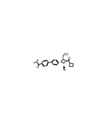 CN(C)C(=O)c1ccc(-c2ccc([C@H]3[C@@H](C#N)N(C(=O)C4CCC4)[C@@H]3CO)cc2)cc1